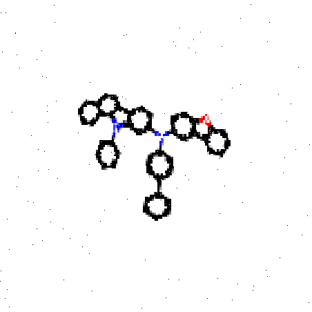 c1ccc(-c2ccc(N(c3ccc4oc5ccccc5c4c3)c3ccc4c5ccc6ccccc6c5n(-c5ccccc5)c4c3)cc2)cc1